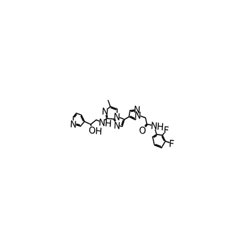 Cc1cn2c(-c3cnn(CC(=O)Nc4cccc(F)c4F)c3)cnc2c(NCC(O)c2cccnc2)n1